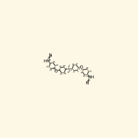 CC(C)(c1ccc(Oc2ccc(NC#N)cc2)cc1)c1ccc(Oc2ccc(NC#N)cc2)cc1